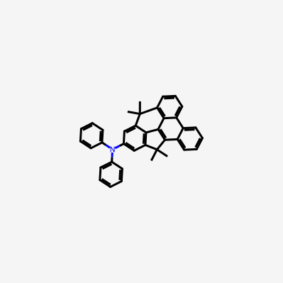 CC1(C)c2cc(N(c3ccccc3)c3ccccc3)cc3c2-c2c1c1ccccc1c1cccc(c21)C3(C)C